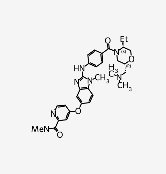 CC[C@H]1CO[C@H](CN(C)C)CN1C(=O)c1ccc(Nc2nc3cc(Oc4ccnc(C(=O)NC)c4)ccc3n2C)cc1